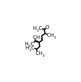 CC(=O)C(C)CCC(CC(C)C)=C(C)C